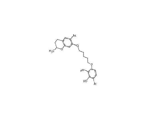 CCCc1c(OCCCCCOc2cc3c(cc2C(C)=O)CCC(C)O3)ccc(C(C)=O)c1O